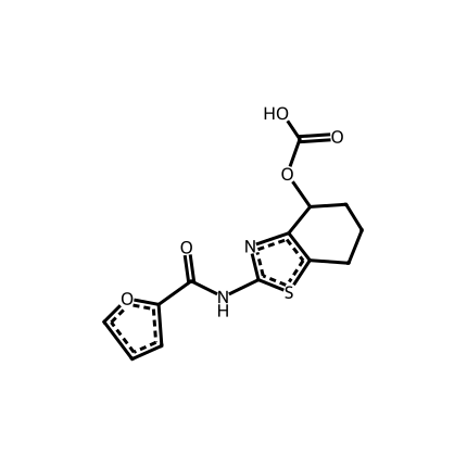 O=C(O)OC1CCCc2sc(NC(=O)c3ccco3)nc21